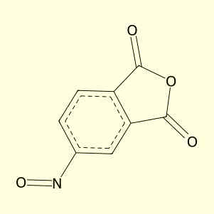 O=Nc1ccc2c(c1)C(=O)OC2=O